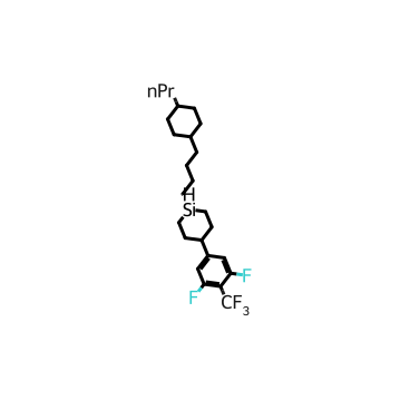 CCCC1CCC(CCCC[SiH]2CCC(c3cc(F)c(C(F)(F)F)c(F)c3)CC2)CC1